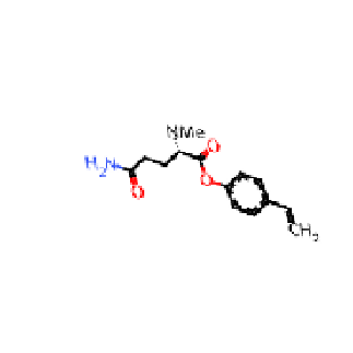 C=Cc1ccc(OC(=O)[C@H](CCC(N)=O)NC)cc1